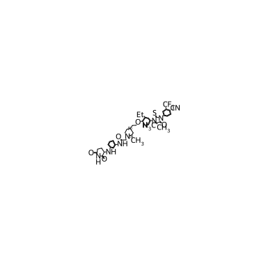 CCc1cc(N2C(=S)N(c3ccc(C#N)c(C(F)(F)F)c3)C(=O)C2(C)C)cnc1OCC[C@@H]1CCN(CC(=O)Nc2cccc(NC3CCC(=O)NC3=O)c2)[C@@H](C)C1